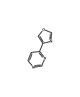 [c]1nccc(-c2cocn2)n1